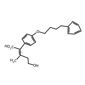 C/C(CCO)=C(\C(=O)O)c1ccc(OCCCCc2ccccc2)cc1